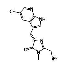 CC(C)CC1=NC(=Cc2c[nH]c3ncc(Cl)cc23)C(=O)N1C